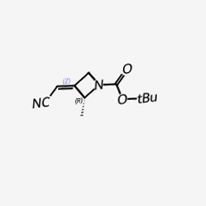 C[C@@H]1/C(=C\C#N)CN1C(=O)OC(C)(C)C